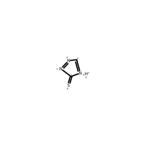 S=C1N=CN=N1.[H+]